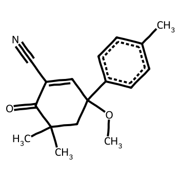 COC1(c2ccc(C)cc2)C=C(C#N)C(=O)C(C)(C)C1